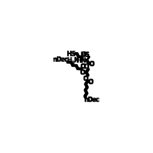 CCCCCCCCCCCCCCCC(=O)OCC(COC(=O)[C@H](CS)NC(=O)[C@@H](N)CS)OC(=O)CCCCCCCCCCCCCCC